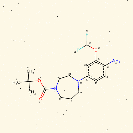 CC(C)(C)OC(=O)N1CCCN(c2ccc(N)c(OC(F)F)c2)CC1